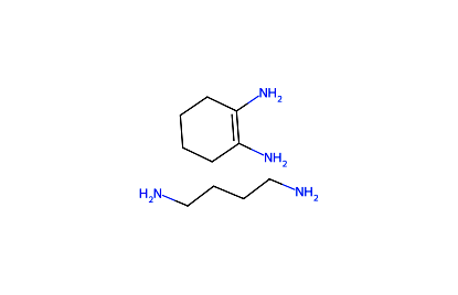 NC1=C(N)CCCC1.NCCCCN